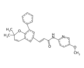 COc1ccc(NC(=O)/C=C/c2cc3c(c(-c4ccccc4)c2)OC(C)(C)C=C3)nc1